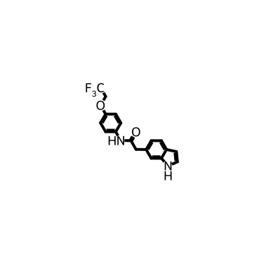 O=C(Cc1ccc2cc[nH]c2c1)Nc1ccc(OCC(F)(F)F)cc1